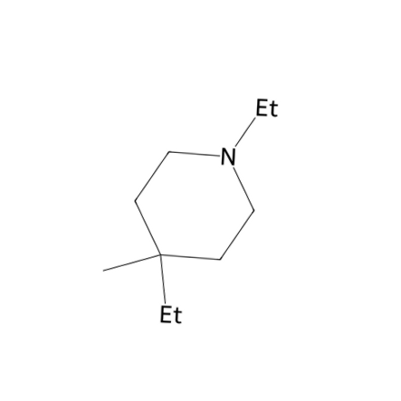 CCN1CCC(C)(CC)CC1